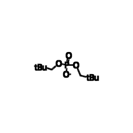 CC(C)(C)COP([O])(=O)OCC(C)(C)C